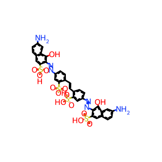 Nc1ccc2cc(S(=O)(=O)O)c(N=Nc3ccc(C=Cc4ccc(N=Nc5c(S(=O)(=O)O)cc6ccc(N)cc6c5O)cc4S(=O)(=O)O)c(S(=O)(=O)O)c3)c(O)c2c1